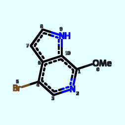 COc1ncc(Br)c2cc[nH]c12